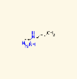 CCCCNc1[c]nn[nH]1